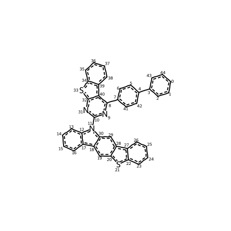 c1ccc(-c2ccc(-c3nc(-n4c5ccccc5c5cc6sc7ccccc7c6cc54)nc4sc5ccccc5c34)cc2)cc1